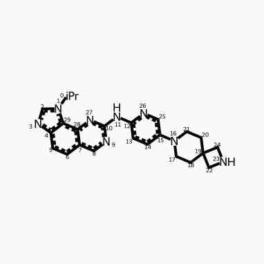 CC(C)n1cnc2ccc3cnc(Nc4ccc(N5CCC6(CC5)CNC6)cn4)nc3c21